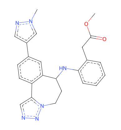 COC(=O)Cc1ccccc1NC1CCn2nncc2-c2ccc(-c3cnn(C)c3)cc21